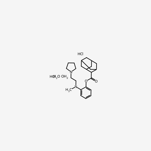 CN(CCN1CCCC1)c1ccccc1OC(=O)C1C2CC3CC(C2)CC1C3.Cl.Cl.O.O